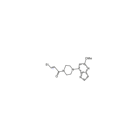 CC/C=C/C(=O)N1CCN(c2cc(OC)nc3ccnn23)CC1